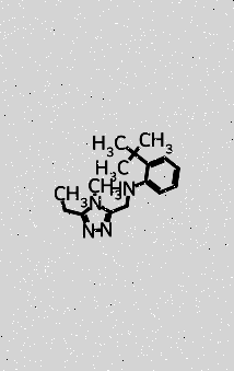 CCc1nnc(CNc2ccccc2C(C)(C)C)n1C